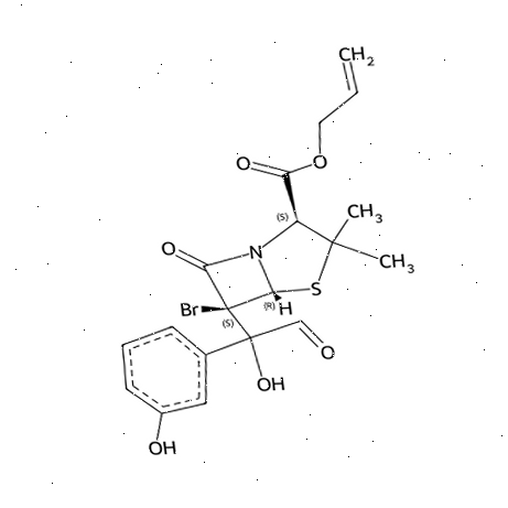 C=CCOC(=O)[C@@H]1N2C(=O)[C@@](Br)(C(O)(C=O)c3cccc(O)c3)[C@H]2SC1(C)C